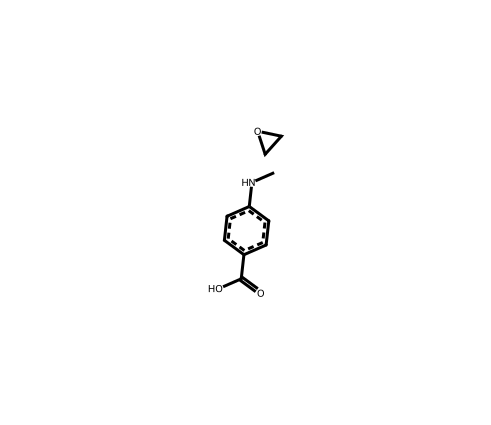 C1CO1.CNc1ccc(C(=O)O)cc1